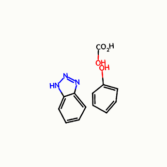 O=C(O)O.Oc1ccccc1.c1ccc2[nH]nnc2c1